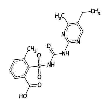 CCc1cnc(NC(=O)NS(=O)(=O)c2c(C)cccc2C(=O)O)nc1C